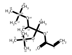 C=CC(=O)OC([SiH3])(O[Si](C)(C)C)C(C)O[Si](C)(C)C